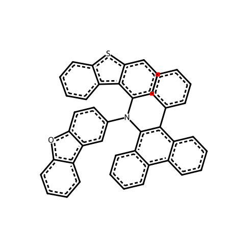 c1ccc(-c2c(N(c3ccc4oc5ccccc5c4c3)c3cccc4sc5ccccc5c34)c3ccccc3c3ccccc23)cc1